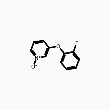 [O-][n+]1cccc(Oc2ccccc2F)c1